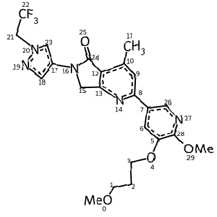 COCCCOc1cc(-c2cc(C)c3c(n2)CN(c2cnn(CC(F)(F)F)c2)C3=O)cnc1OC